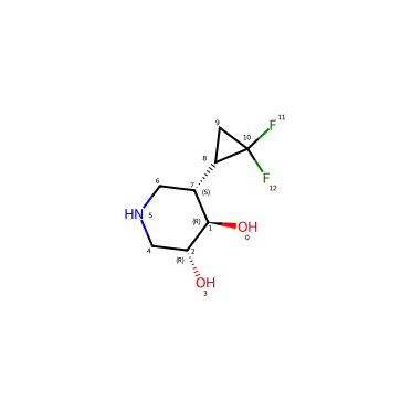 O[C@H]1[C@H](O)CNC[C@@H]1C1CC1(F)F